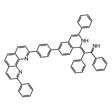 N=C(/C(=C1\NC(c2ccccc2)=Cc2cc(-c3ccc(-c4ccc5ccc6ccc(-c7ccccc7)nc6c5n4)cc3)ccc21)c1ccccc1)c1ccccc1